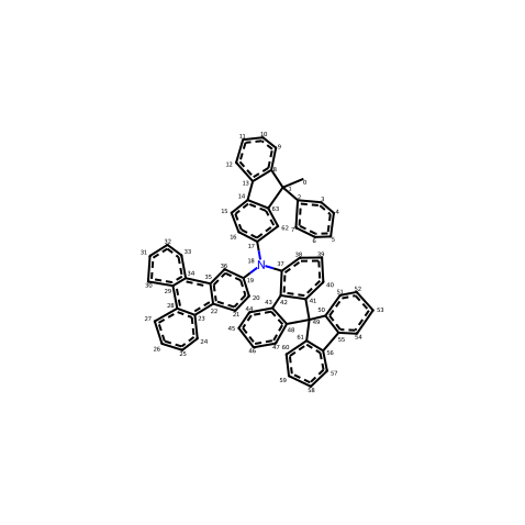 CC1(c2ccccc2)c2ccccc2-c2ccc(N(c3ccc4c5ccccc5c5ccccc5c4c3)c3cccc4c3-c3ccccc3C43c4ccccc4-c4ccccc43)cc21